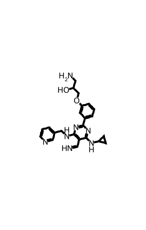 N=Cc1c(NCc2cccnc2)nc(-c2cccc(OCC(O)CN)c2)nc1NC1CC1